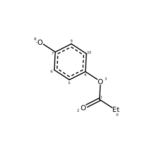 CCC(=O)Oc1ccc([O])cc1